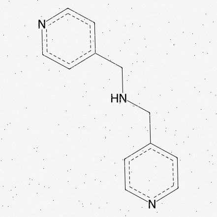 c1cc(CNCc2ccncc2)ccn1